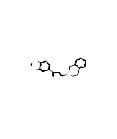 O=C(C=CN1CCc2ccccc2C1)c1ccc2c(c1)OCO2